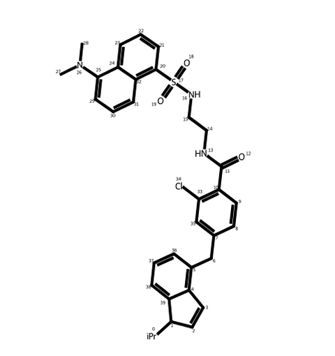 CC(C)C1C=Cc2c(Cc3ccc(C(=O)NCCNS(=O)(=O)c4cccc5c(N(C)C)cccc45)c(Cl)c3)cccc21